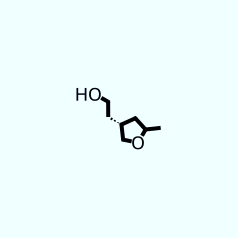 CC1C[C@@H](CCO)CO1